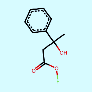 CC(O)(CC(=O)OF)c1ccccc1